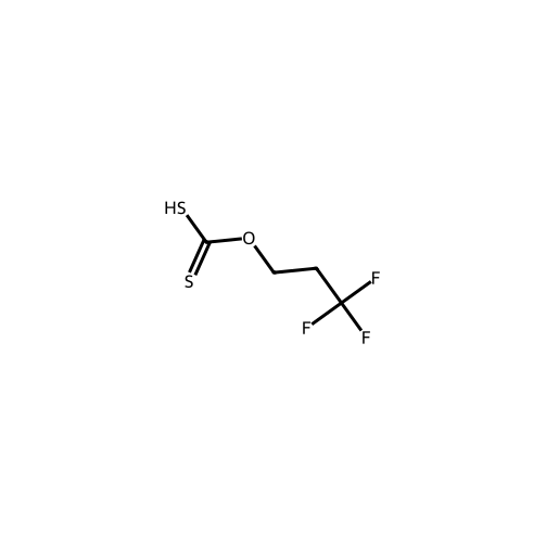 FC(F)(F)CCOC(=S)S